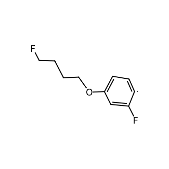 FCCCCOc1cc[c]c(F)c1